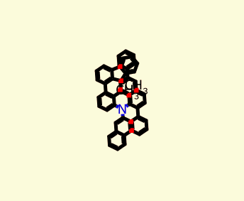 CC1(C)c2ccccc2-c2cccc(-c3cccc(N(c4ccc5ccccc5c4)c4ccccc4-c4ccccc4)c3-c3cccc(-c4ccccc4)c3)c21